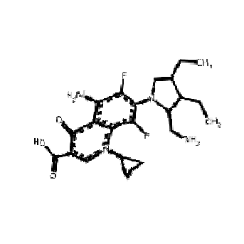 CCC1CN(c2c(F)c(N)c3c(=O)c(C(=O)O)cn(C4CC4)c3c2F)C(CN)C1CC